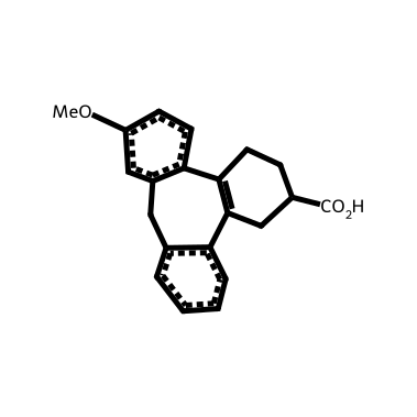 COc1ccc2c(c1)Cc1ccccc1C1=C2CCC(C(=O)O)C1